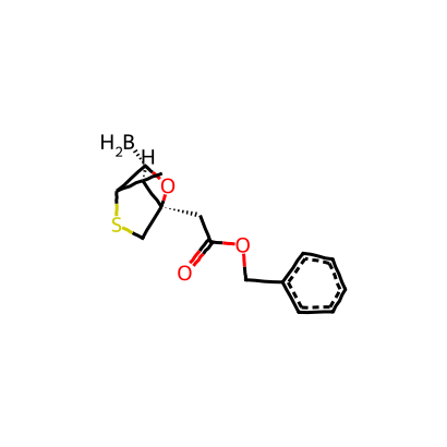 B[C@@H]1O[C@@]2(CC(=O)OCc3ccccc3)CSC1[C@H]2C